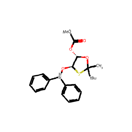 COC(=O)O[C@@H]1OC(C)(C(C)(C)C)S[C@H]1O[SiH](c1ccccc1)c1ccccc1